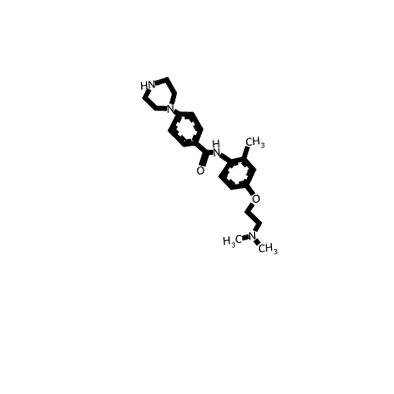 Cc1cc(OCCN(C)C)ccc1NC(=O)c1ccc(N2CCNCC2)cc1